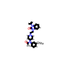 C=C(C)n1c(=O)n(CCN2CCC(N(C(=O)CC)c3cccc(OC)c3)CC2)c2ccccc21